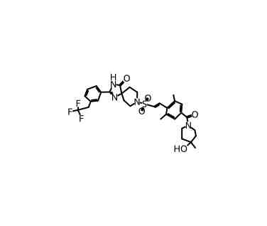 Cc1cc(C(=O)N2CCC(C)(O)CC2)cc(C)c1C=CS(=O)(=O)N1CCC2(CC1)N=C(c1cccc(CC(F)(F)F)c1)NC2=O